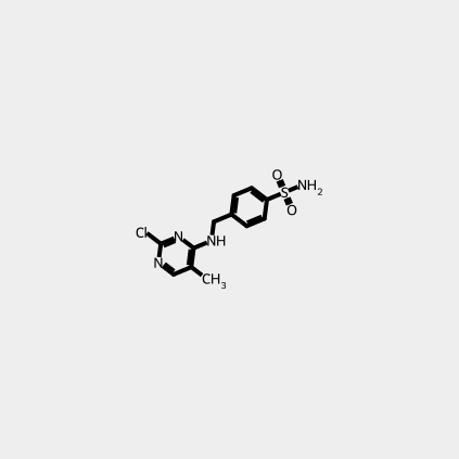 Cc1cnc(Cl)nc1NCc1ccc(S(N)(=O)=O)cc1